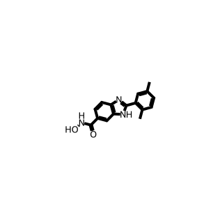 Cc1ccc(C)c(-c2nc3ccc(C(=O)NO)cc3[nH]2)c1